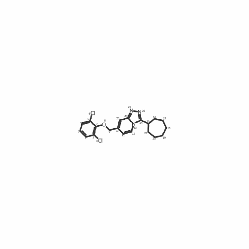 Clc1cccc(Cl)c1OCc1ccn2c(C3CCCCCC3)nnc2c1